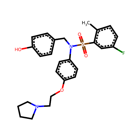 Cc1ccc(F)cc1S(=O)(=O)N(Cc1ccc(O)cc1)c1ccc(OCCN2CCCC2)cc1